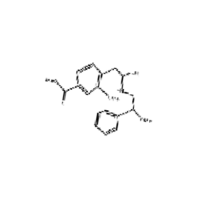 COC(=O)c1ccc(CC(C)NCC(OC)c2ccccc2)c(OC)c1